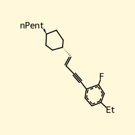 CCCCC[C@H]1CC[C@H](/C=C/C#Cc2ccc(CC)cc2F)CC1